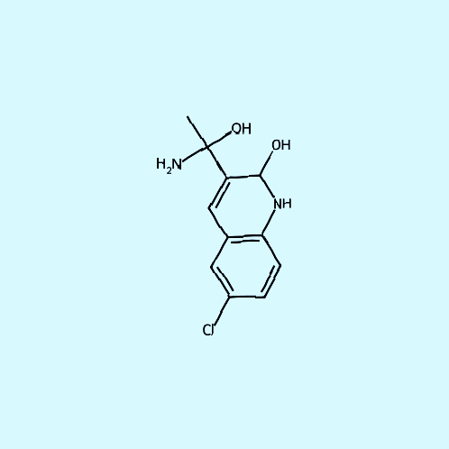 CC(N)(O)C1=Cc2cc(Cl)ccc2NC1O